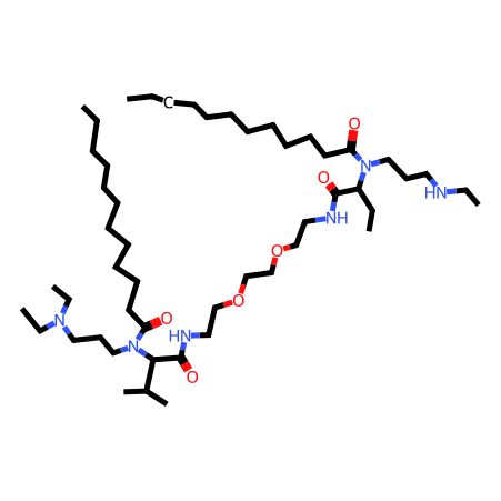 CCCCCCCCCCCC(=O)N(CCCNCC)C(CC)C(=O)NCCOCCOCCNC(=O)C(C(C)C)N(CCCN(CC)CC)C(=O)CCCCCCCCCCC